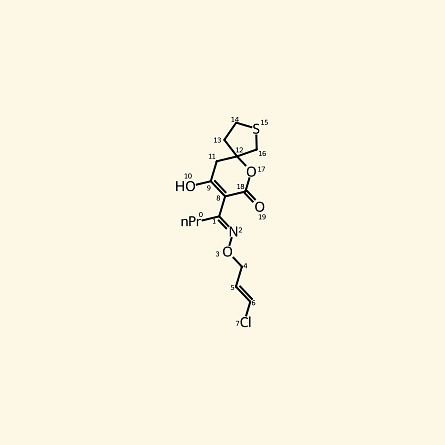 CCCC(=NOCC=CCl)C1=C(O)CC2(CCSC2)OC1=O